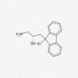 CCC1(C[C@H](O)CN)c2ccccc2-c2ccccc21